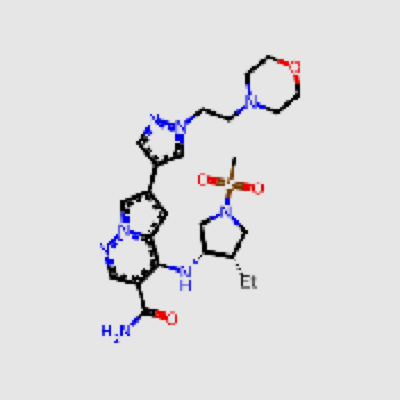 CC[C@H]1CN(S(C)(=O)=O)C[C@H]1Nc1c(C(N)=O)cnn2cc(-c3cnn(CCN4CCOCC4)c3)cc12